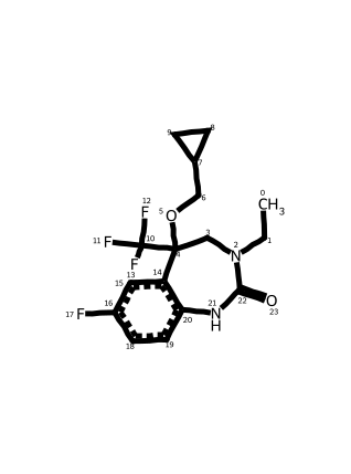 CCN1CC(OCC2CC2)(C(F)(F)F)c2cc(F)ccc2NC1=O